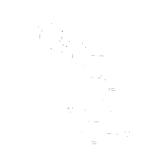 COc1cccc(OC)c1OCC(=O)N1CCc2nc(N3C4CCC3CNC4)sc2C1